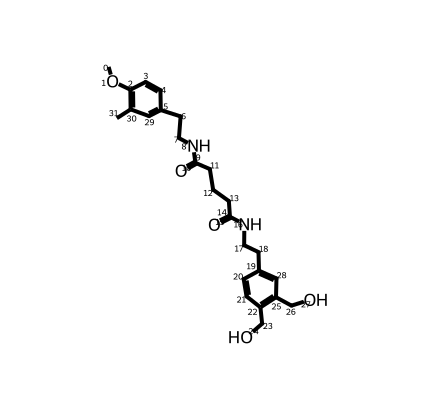 COc1ccc(CCNC(=O)CCCC(=O)NCCc2ccc(CO)c(CO)c2)cc1C